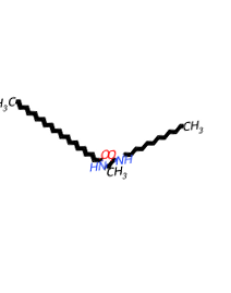 CCCCCCCCCCCCCCCCCCCCCC(=O)N[C@@H](C)C(=O)NCCCCCCCCCCCC